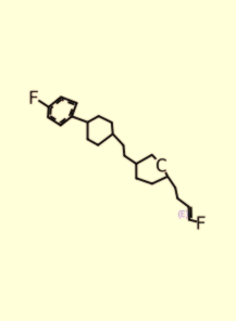 F/C=C/CCC1CCC(CCC2CCC(c3ccc(F)cc3)CC2)CC1